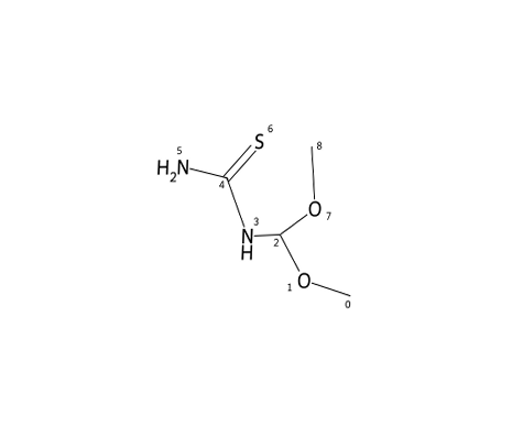 COC(NC(N)=S)OC